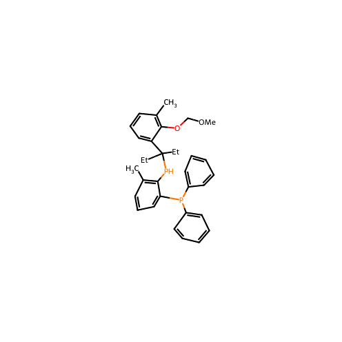 CCC(CC)(Pc1c(C)cccc1P(c1ccccc1)c1ccccc1)c1cccc(C)c1OCOC